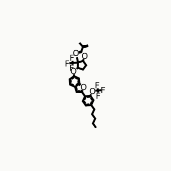 C=C(C)C(=O)OC1CCC(Oc2ccc3cc(-c4ccc(CCCCC)cc4OC(F)(F)F)oc3c2)C1(C)C(F)(F)F